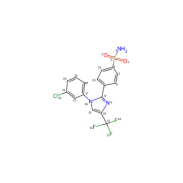 NS(=O)(=O)c1ccc(-c2nc(C(F)(F)F)cn2-c2cccc(Cl)c2)cc1